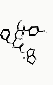 CC(C)CN(C[C@@H](O)[C@H](Cc1ccccc1)NC(=O)O[C@H]1COC2OCC[C@H]21)S(=O)(=O)c1ccc(N)cc1